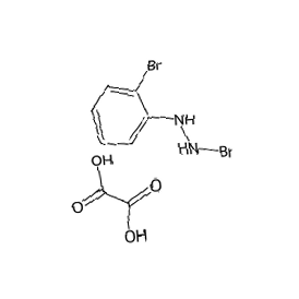 BrNNc1ccccc1Br.O=C(O)C(=O)O